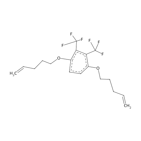 C=CCCCOc1ccc(OCCCC=C)c(C(F)(F)F)c1C(F)(F)F